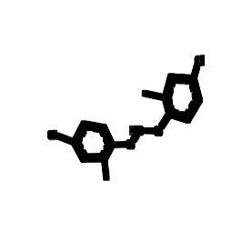 Cc1cc(Cl)ccc1OBOc1ccc(Cl)cc1C